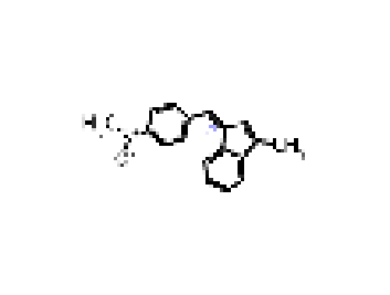 CC1=C/C(=C/c2ccc([S+](C)[O-])cc2)c2ccccc21